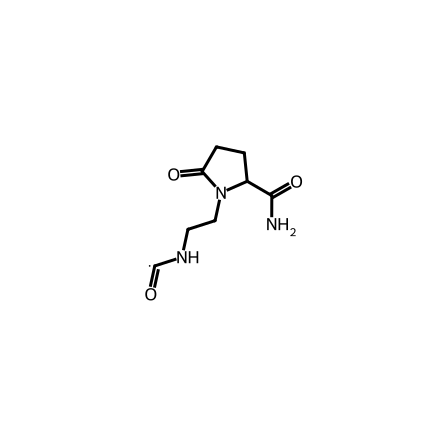 NC(=O)C1CCC(=O)N1CCN[C]=O